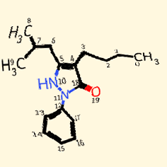 CCCCc1c(CC(C)C)[nH]n(-c2ccccc2)c1=O